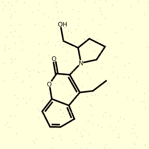 CCc1c(N2CCCC2CO)c(=O)oc2ccccc12